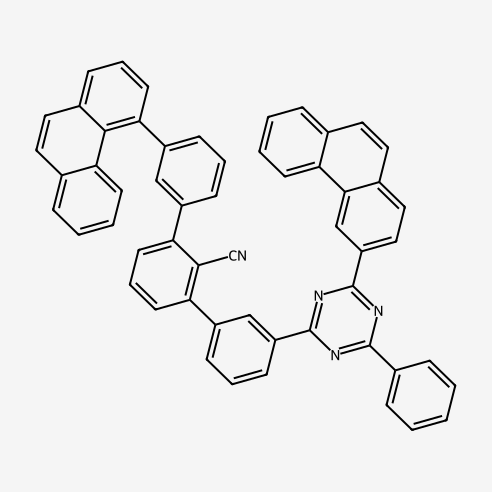 N#Cc1c(-c2cccc(-c3nc(-c4ccccc4)nc(-c4ccc5ccc6ccccc6c5c4)n3)c2)cccc1-c1cccc(-c2cccc3ccc4ccccc4c23)c1